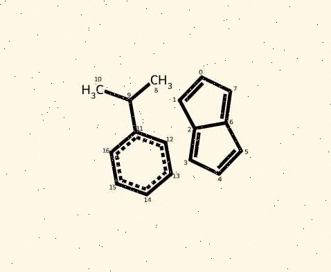 C1=CC2=CC=CC2=C1.CC(C)c1ccccc1